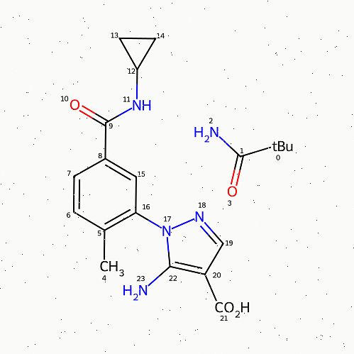 CC(C)(C)C(N)=O.Cc1ccc(C(=O)NC2CC2)cc1-n1ncc(C(=O)O)c1N